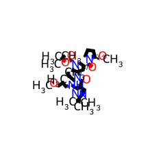 COCCCNc1nc(C(C)(C)C)ncc1C(=O)N(CC(C)C)[C@H]1C[C@@H](C(=O)N2CCC[C@H]2COC)CN(C(=O)OC(C)(C)C)C1